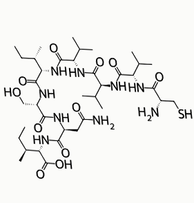 CC[C@H](C)[C@H](NC(=O)[C@H](CC(N)=O)NC(=O)[C@H](CO)NC(=O)[C@@H](NC(=O)[C@@H](NC(=O)[C@@H](NC(=O)[C@@H](NC(=O)[C@@H](N)CS)C(C)C)C(C)C)C(C)C)[C@@H](C)CC)C(=O)O